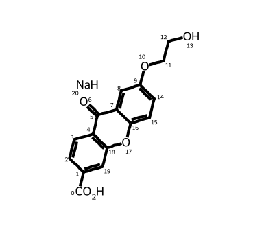 O=C(O)c1ccc2c(=O)c3cc(OCCO)ccc3oc2c1.[NaH]